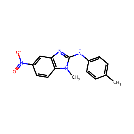 Cc1ccc(Nc2nc3cc([N+](=O)[O-])ccc3n2C)cc1